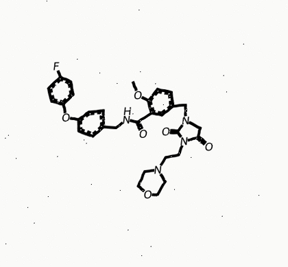 COc1ccc(CN2CC(=O)N(CCN3CCOCC3)C2=O)cc1C(=O)NCc1ccc(Oc2ccc(F)cc2)cc1